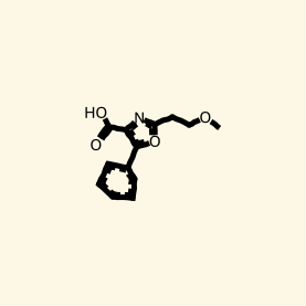 COCCc1nc(C(=O)O)c(-c2ccccc2)o1